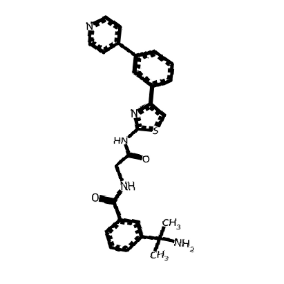 CC(C)(N)c1cccc(C(=O)NCC(=O)Nc2nc(-c3cccc(-c4ccncc4)c3)cs2)c1